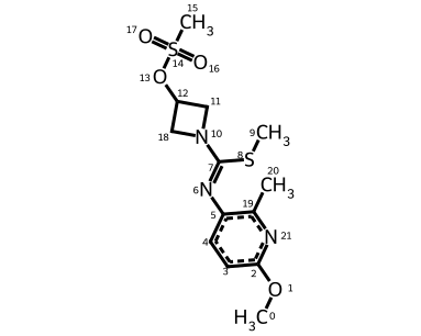 COc1ccc(N=C(SC)N2CC(OS(C)(=O)=O)C2)c(C)n1